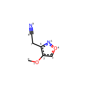 COc1conc1CC#N